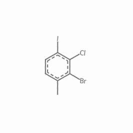 Cc1ccc(I)c(Cl)c1Br